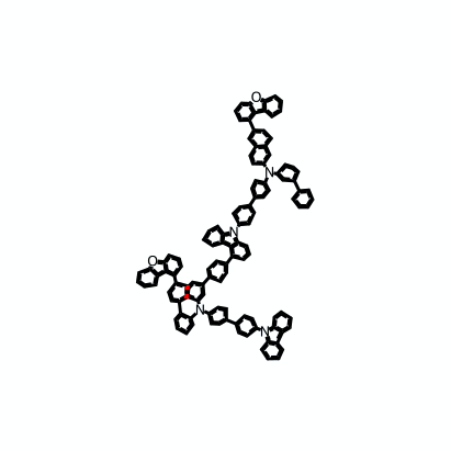 c1ccc(-c2cccc(N(c3ccc(-c4ccc(-n5c6ccccc6c6c(-c7ccc(-c8cccc(N(c9ccc(-c%10ccc(-n%11c%12ccccc%12c%12ccccc%12%11)cc%10)cc9)c9ccccc9-c9ccc(-c%10cccc%11oc%12ccccc%12c%10%11)cc9)c8)cc7)cccc65)cc4)cc3)c3ccc4cc(-c5cccc6oc7ccccc7c56)ccc4c3)c2)cc1